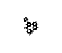 O=C(c1cccc(-n2ccnc2)c1)N1CCC(F)(F)C(Oc2ccc3ccccc3n2)C1